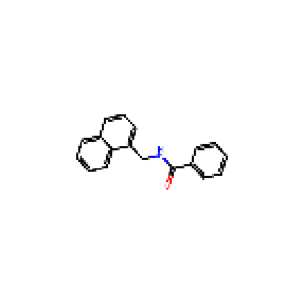 O=C(NCc1cccc2ccccc12)c1ccccc1